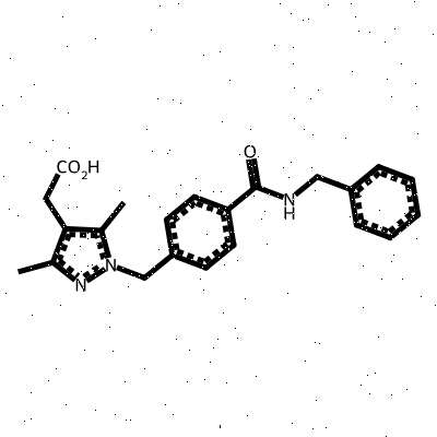 Cc1nn(Cc2ccc(C(=O)NCc3ccccc3)cc2)c(C)c1CC(=O)O